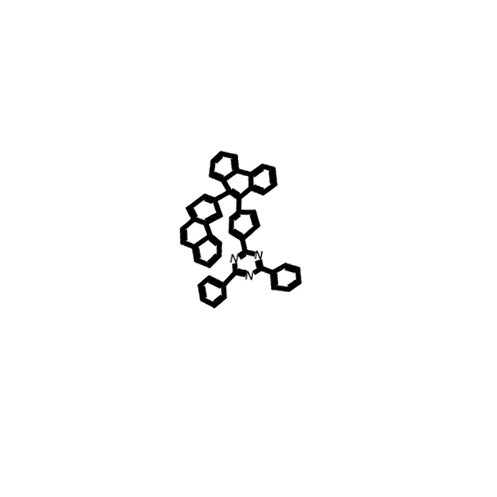 c1ccc(-c2nc(-c3ccccc3)nc(-c3ccc(-c4c(-c5ccc6ccc7ccccc7c6c5)c5ccccc5c5ccccc45)cc3)n2)cc1